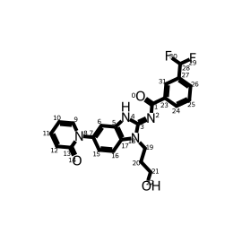 O=C(/N=c1\[nH]c2cc(-n3ccccc3=O)ccc2n1CCCO)c1cccc(C(F)F)c1